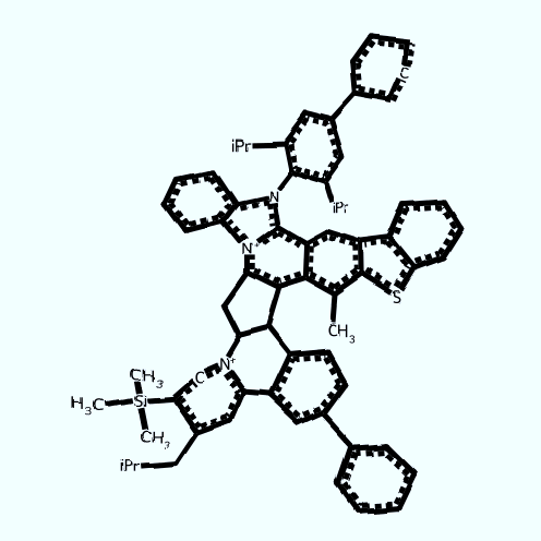 Cc1c2sc3ccccc3c2cc2c1c1c([n+]3c4ccccc4n(-c4c(C(C)C)cc(-c5ccccc5)cc4C(C)C)c23)CC2C1c1ccc(-c3ccccc3)cc1-c1cc(CC(C)C)c([Si](C)(C)C)c[n+]12